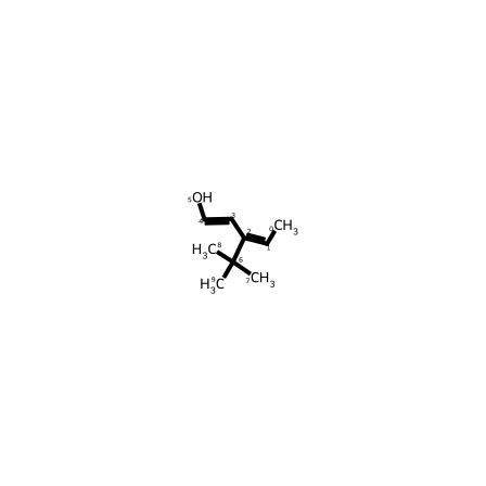 C/C=C(\C=C\O)C(C)(C)C